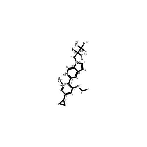 CCSc1cc(C2CC2)c[n+]([O-])c1-c1cc2ccn(CC(F)(F)C(F)(F)F)c2cn1